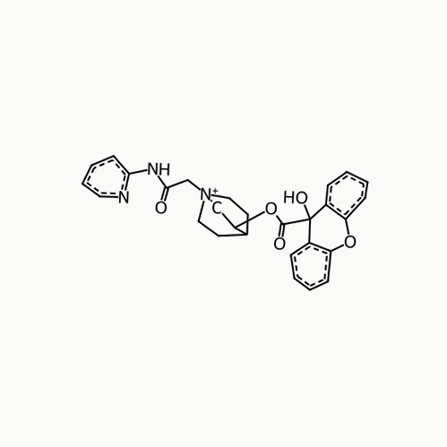 O=C(C[N+]12CCC(CC1)C(OC(=O)C1(O)c3ccccc3Oc3ccccc31)C2)Nc1ccccn1